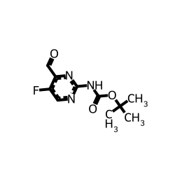 CC(C)(C)OC(=O)Nc1ncc(F)c(C=O)n1